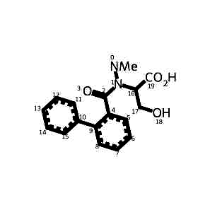 CNN(C(=O)c1ccccc1-c1ccccc1)C(CO)C(=O)O